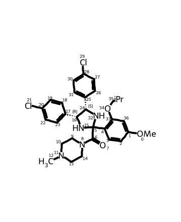 COc1ccc(C2(C(=O)N3CCN(C)CC3)N[C@H](c3ccc(Cl)cc3)[C@H](c3ccc(Cl)cc3)N2)c(OC(C)C)c1